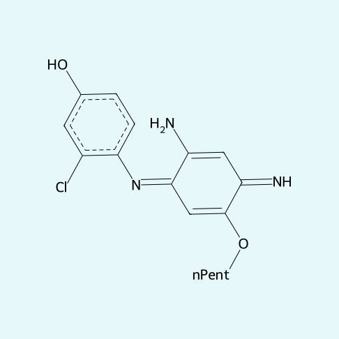 CCCCCOC1=C/C(=N/c2ccc(O)cc2Cl)C(N)=CC1=N